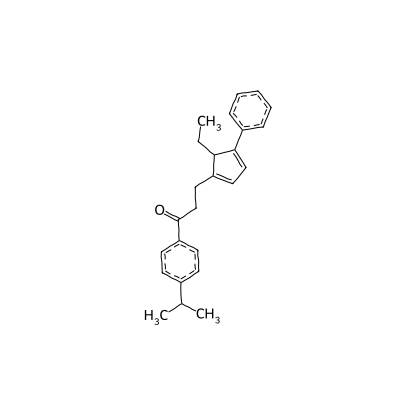 CCC1C(CCC(=O)c2ccc(C(C)C)cc2)=CC=C1c1ccccc1